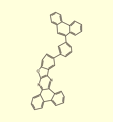 c1cc(-c2ccc3oc4nc5c6ccccc6c6ccccc6c5nc4c3c2)cc(-c2cc3ccccc3c3ccccc23)c1